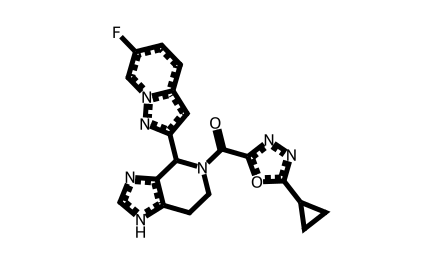 O=C(c1nnc(C2CC2)o1)N1CCc2[nH]cnc2C1c1cc2ccc(F)cn2n1